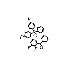 O=C(c1ccccc1)c1cccc(F)c1F.O=P(c1ccccc1)(c1ccc(F)cc1)c1ccc(F)cc1